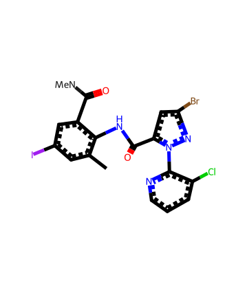 CNC(=O)c1cc(I)cc(C)c1NC(=O)c1cc(Br)nn1-c1ncccc1Cl